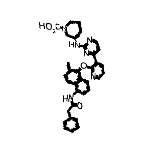 Cc1ccc2c(NC(=O)Cc3ccccc3)cccc2c1Oc1ncccc1-c1ccnc(N[C@H]2CCCN(C(=O)O)C2)n1